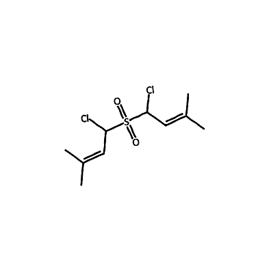 CC(C)=CC(Cl)S(=O)(=O)C(Cl)C=C(C)C